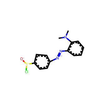 CN(C)c1ccccc1/N=N/c1ccc([S+]([O-])Cl)cc1